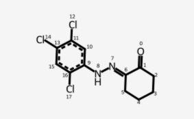 O=C1CCCC/C1=N\Nc1cc(Cl)c(Cl)cc1Cl